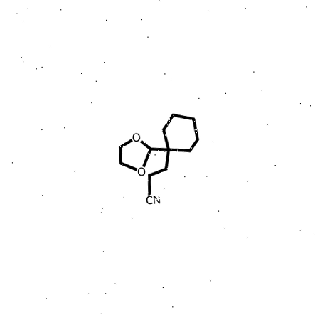 N#CCCC1(C2OCCO2)CCCCC1